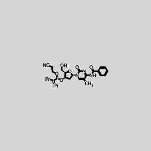 Cc1cn([C@H]2C[C@@H](OP(OCCC#N)N(C(C)C)C(C)C)[C@@H](CO)O2)c(=O)nc1NC(=O)c1ccccc1